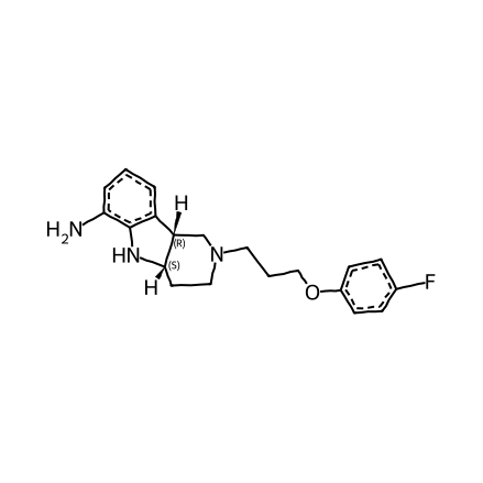 Nc1cccc2c1N[C@H]1CCN(CCCOc3ccc(F)cc3)C[C@@H]21